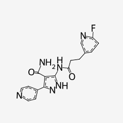 NC(=O)c1c(-c2ccncc2)n[nH]c1NC(=O)CCc1ccc(F)nc1